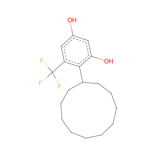 Oc1cc(O)c(C2CCCCCCCCCC2)c(C(F)(F)F)c1